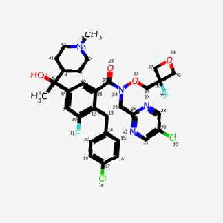 CN1CCC(C(C)(O)c2cc(F)c(Cc3ccc(Cl)cc3)c(C(=O)N(Cc3ncc(Cl)cn3)OCC3(F)COC3)c2)CC1